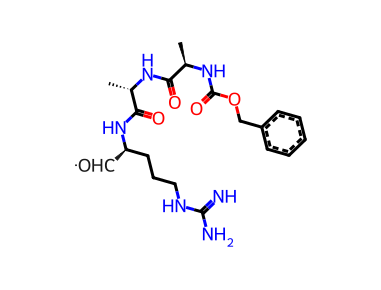 C[C@H](NC(=O)[C@@H](C)NC(=O)OCc1ccccc1)C(=O)N[C@H]([C]=O)CCCNC(=N)N